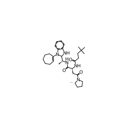 C[C@H](NC(=O)[C@H](CC(=O)N1CCC[C@@H]1C)NC(=O)CCC(C)(C)C)C1Nc2ccccc2N1C1=CCCCCC1